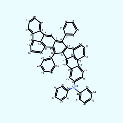 c1ccc(-c2c3cc4c5ccccc5c5cccc(c3c(-c3ccccc3)c3c6cc7cc(N(c8ccccc8)c8ccccc8)ccc7c7cccc(c23)c76)c54)cc1